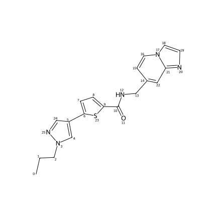 CCCn1cc(-c2ccc(C(=O)NCc3ccn4ccnc4c3)s2)cn1